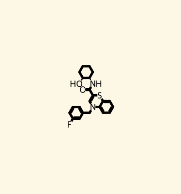 O=C(N[C@H]1CCCC[C@@H]1O)C1=CN(Cc2cccc(F)c2)c2ccccc2S1